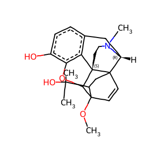 COC12C=CC3(CC1C(C)(C)O)[C@H]1Cc4ccc(O)c5c4[C@@]3(CCN1C)C2O5